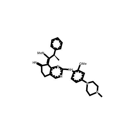 CN/C(=C1\C(=N)CCc2cnc(Nc3ccc(N4CCN(C)CC4)cc3OC)nc21)[C@H](C)c1ccccc1